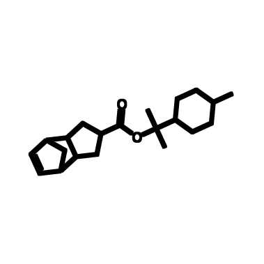 CC1CCC(C(C)(C)OC(=O)C2CC3C4C=CC(C4)C3C2)CC1